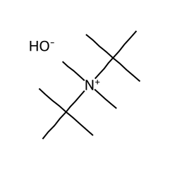 CC(C)(C)[N+](C)(C)C(C)(C)C.[OH-]